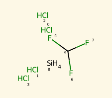 Cl.Cl.Cl.Cl.FC(F)F.[SiH4]